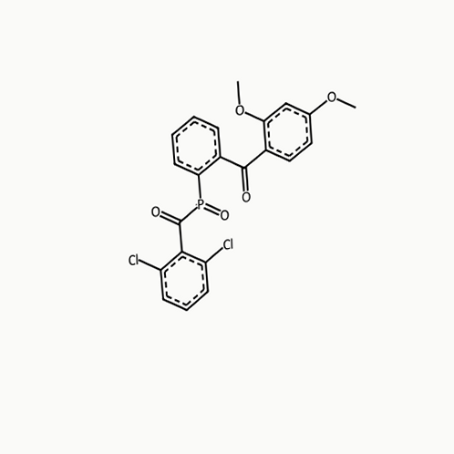 COc1ccc(C(=O)c2ccccc2[P](=O)C(=O)c2c(Cl)cccc2Cl)c(OC)c1